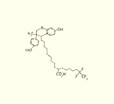 CC1(c2ccc(O)cc2)CSc2cc(O)ccc2C1CCCCCCCCCC(CCCCCC(F)(F)C(F)(F)F)C(=O)O